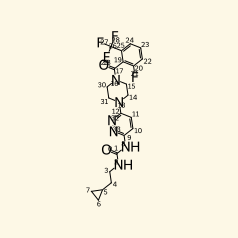 O=C(NCCC1CC1)Nc1ccc(N2CCN(C(=O)c3c(F)cccc3C(F)(F)F)CC2)nn1